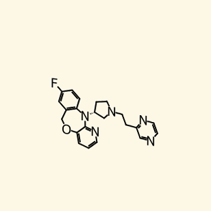 Fc1ccc2c(c1)COc1cccnc1N2[C@@H]1CCN(CCc2cnccn2)C1